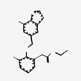 CCOC(=O)Cc1cccc(C)c1OCc1cc(Br)c2occc2c1